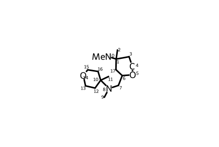 CNC1(C)CCOC(CN(C)C2(C)CCOCC2)C1